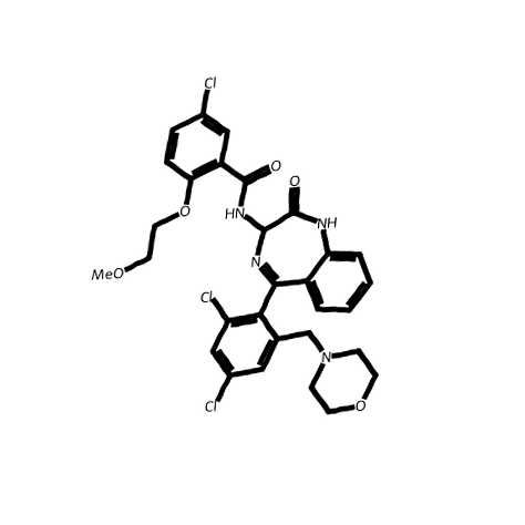 COCCOc1ccc(Cl)cc1C(=O)NC1N=C(c2c(Cl)cc(Cl)cc2CN2CCOCC2)c2ccccc2NC1=O